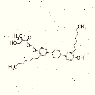 C=C(CO)C(=O)OCOc1ccc(C2CCC(c3ccc(O)c(CCCCCCC)c3)CC2)cc1CCCCCCC